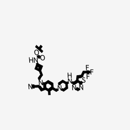 Cc1c(CN2CCC(Nc3ncnc4sc(CC(F)(F)F)cc34)CC2)ccc2c1cc(C#N)n2CCC12CC(NC(=O)OC(C)(C)C)(C1)C2